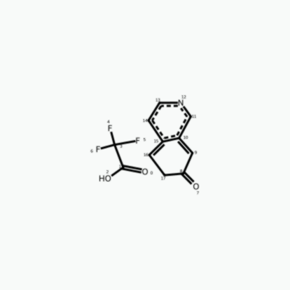 O=C(O)C(F)(F)F.O=C1C=c2cnccc2=CC1